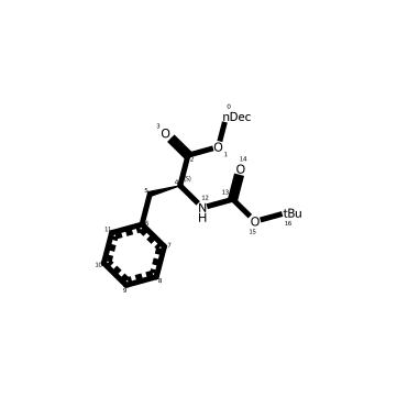 CCCCCCCCCCOC(=O)[C@H](Cc1ccccc1)NC(=O)OC(C)(C)C